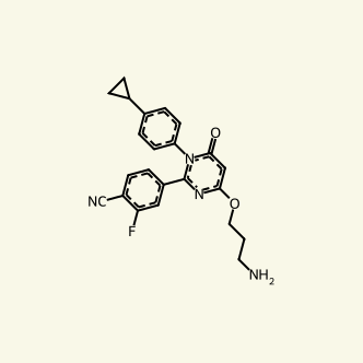 N#Cc1ccc(-c2nc(OCCCN)cc(=O)n2-c2ccc(C3CC3)cc2)cc1F